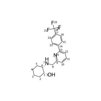 O[C@@H]1CCCC[C@@H]1NCc1cccc(-c2ccc(C(F)(F)F)cc2)n1